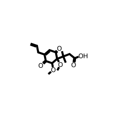 C=CCC1=CC(=O)C(OC)(C(C)(C)CC(=O)O)C(OC)C1=O